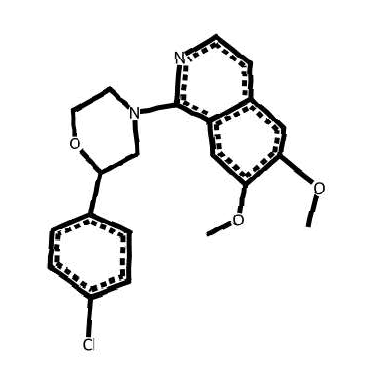 COc1cc2ccnc(N3CCOC(c4ccc(Cl)cc4)C3)c2cc1OC